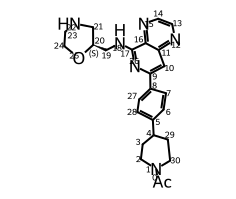 CC(=O)N1CCC(c2ccc(-c3cc4nccnc4c(NC[C@@H]4CNCCO4)n3)cc2)CC1